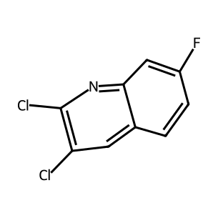 Fc1ccc2cc(Cl)c(Cl)nc2c1